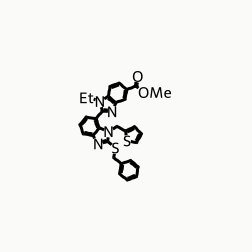 CCn1c(-c2cccc3nc(SCc4ccccc4)n(Cc4cccs4)c23)nc2cc(C(=O)OC)ccc21